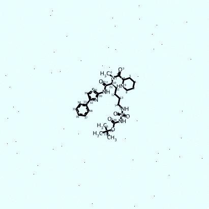 CN(C(=O)C1CCCCN1)[C@@H](CCCCNS(=O)(=O)NC(=O)OC(C)(C)C)C(=O)Nc1nc(-c2ccccc2)cs1